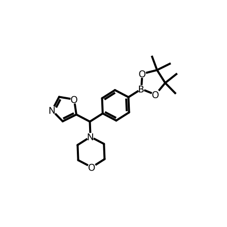 CC1(C)OB(c2ccc(C(c3cnco3)N3CCOCC3)cc2)OC1(C)C